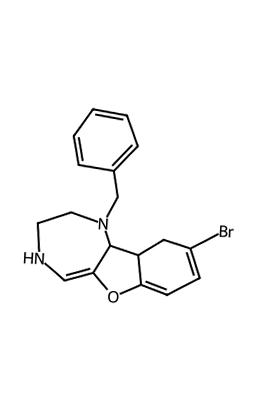 BrC1=CC=C2OC3=CNCCN(Cc4ccccc4)C3C2C1